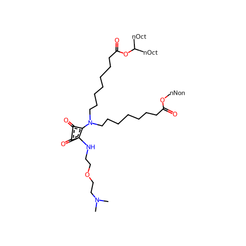 CCCCCCCCCOC(=O)CCCCCCCN(CCCCCCCC(=O)OC(CCCCCCCC)CCCCCCCC)c1c(NCCOCCN(C)C)c(=O)c1=O